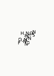 CN(C)C(=S)Oc1cnc(-c2nn(Cc3ccccc3F)c3ncccc23)nc1N